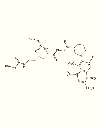 COc1c(N2CCC/C(=C(\F)CNC(=O)[C@H](CCCCNC(=O)OC(C)(C)C)NC(=O)OC(C)(C)C)C2)c(F)cc2c(=O)c(C(=O)O)cn(C3CC3)c12